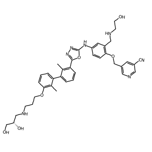 Cc1c(OCCCNC[C@H](O)CO)cccc1-c1cccc(-c2nnc(Nc3ccc(OCc4cncc(C#N)c4)c(CNCCO)c3)o2)c1C